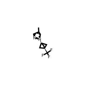 Cc1cnn([C@]23C[C@@](C(F)(F)F)(C2)C3)c1